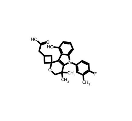 Cc1cc(-n2c3c(c4c(O)cccc42)C2(CC(CC(=O)O)C2)OCC3(C)C)ccc1F